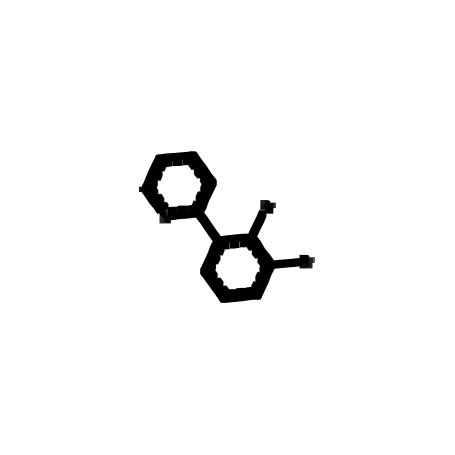 Brc1cccc(-c2ccc[c]n2)c1Br